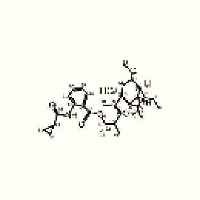 CC[C@H]1C(C)[C@]2(O)[C@@H](OC)[C@H]1[C@H](OC)C[C@]2(O)[C@H](C)CC(C)[C@H](C)OC(=O)c1ccccc1NC(=O)C1CC1